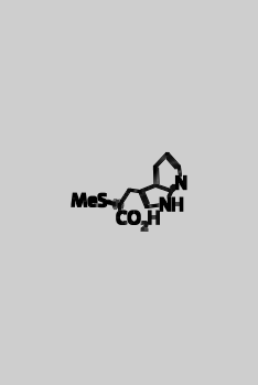 CS[C@@H](Cc1c[nH]c2ncccc12)C(=O)O